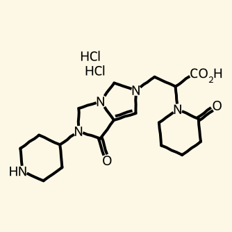 Cl.Cl.O=C(O)C(CN1C=C2C(=O)N(C3CCNCC3)CN2C1)N1CCCCC1=O